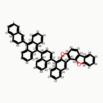 c1ccc2cc(-c3c4ccccc4c(-c4ccc(-c5c6ccccc6cc6c5oc5ccc7c8ccccc8oc7c56)c5ccccc45)c4ccccc34)ccc2c1